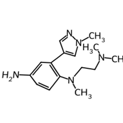 CN(C)CCN(C)c1ccc(N)cc1-c1cnn(C)c1